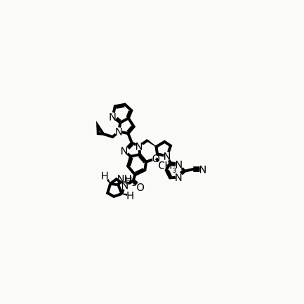 COc1cc(C(=O)N2C[C@H]3CC[C@@H]2[C@@H]3N)cc2nc(-c3cc4cccnc4n3CC3CC3)n(C[C@H]3CCN(c4ccnc(C#N)n4)C3)c12